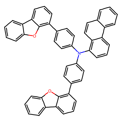 c1ccc2c(c1)ccc1c(N(c3ccc(-c4cccc5c4oc4ccccc45)cc3)c3ccc(-c4cccc5c4oc4ccccc45)cc3)cccc12